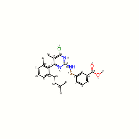 COC(=O)c1cccc(SNc2nc(Cl)c(C)c(-c3c(C)cccc3CCC(C)C)n2)c1